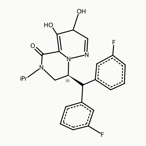 CC(C)N1C[C@H](C(c2cccc(F)c2)c2cccc(F)c2)N2N=CC(O)C(O)=C2C1=O